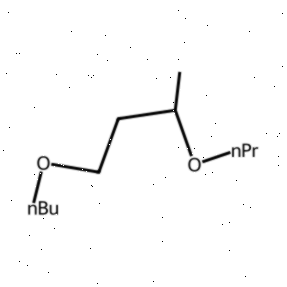 CCCCOCCC(C)OCCC